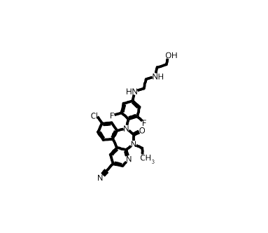 CCN1C(=O)N(c2c(F)cc(NCCNCCO)cc2F)c2cc(Cl)ccc2-c2cc(C#N)cnc21